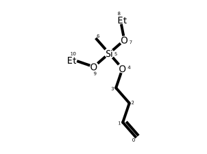 C=CCCO[Si](C)(OCC)OCC